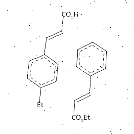 CCOC(=O)C=Cc1ccccc1.CCc1ccc(C=CC(=O)O)cc1